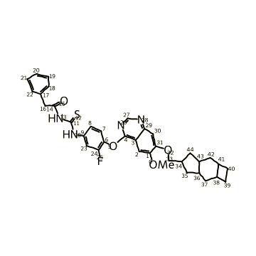 COc1cc2c(Oc3ccc(NC(=S)NC(=O)Cc4ccccc4)cc3F)ncnc2cc1OCC1CC2CC3CCC3CC2C1